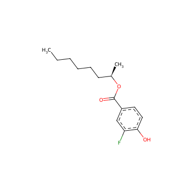 CCCCCC[C@@H](C)OC(=O)c1ccc(O)c(F)c1